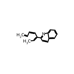 C=C/C=C\C(=C/C)c1ccc2ccccc2n1